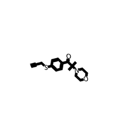 C#CCSc1ccc(C(=O)C(C)(C)N2CCOCC2)cc1